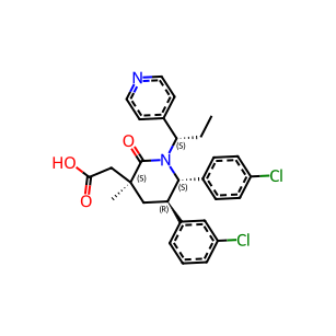 CC[C@@H](c1ccncc1)N1C(=O)[C@](C)(CC(=O)O)C[C@H](c2cccc(Cl)c2)[C@H]1c1ccc(Cl)cc1